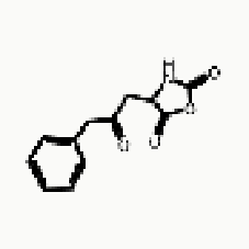 O=C(Cc1ccccc1)CC1NC(=O)OC1=O